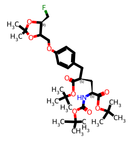 CC(C)(C)OC(=O)N[C@@H](C[C@H](Cc1ccc(OCC2OC(C)(C)O[C@H]2CF)cc1)C(=O)OC(C)(C)C)C(=O)OC(C)(C)C